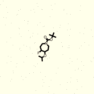 CC(C)OC1CCN(C(=O)OC(C)(C)C)CCC1F